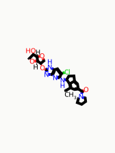 CCc1cc(C(=O)N2CCCCC2)cc2c1C(Nc1nc3nc(O[C@@H]4CO[C@H]5[C@@H]4OC[C@H]5O)[nH]c3cc1Cl)CC2